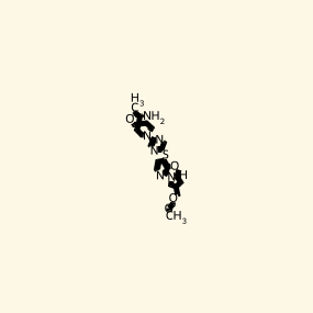 COCOCC1C[C@H]2COc3c(Sc4cnc(N5CCC6(CC5)CO[C@@H](C)[C@H]6N)cn4)ccnc3N2C1